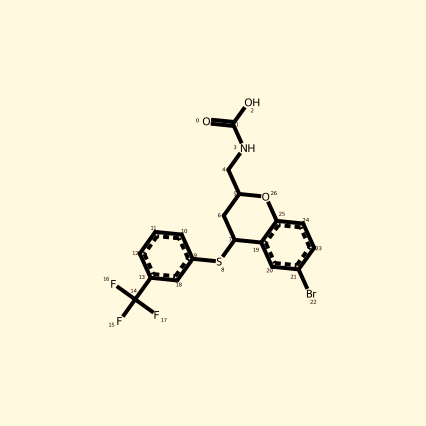 O=C(O)NCC1CC(Sc2cccc(C(F)(F)F)c2)c2cc(Br)ccc2O1